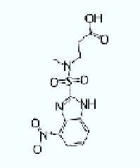 CN(CCC(=O)O)S(=O)(=O)c1nc2c([N+](=O)[O-])cccc2[nH]1